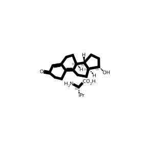 CC(C)[C@H](N)C(=O)O.O=C1C=C2CC[C@@H]3C(=C2CC1)CC[C@H]1[C@H]3CC[C@@H]1O